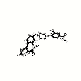 CNC(=O)c1ccc(N2CCN(Cc3ccc4c(c3)[nH]c(=O)c3ocnc34)CC2)c(C)n1